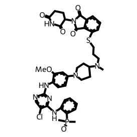 COc1cc(N2CCC(N(C)CCCSc3cccc4c3C(=O)N(C3CCC(=O)NC3=O)C4=O)CC2)ccc1Nc1ncc(Cl)c(Nc2ccccc2P(C)(C)=O)n1